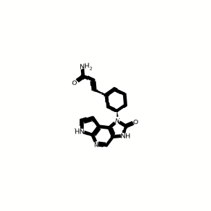 NC(=O)C=C[C@H]1CCC[C@H](n2c(=O)[nH]c3cnc4[nH]ccc4c32)C1